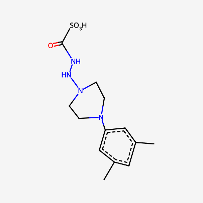 Cc1cc(C)cc(N2CCN(NNC(=O)S(=O)(=O)O)CC2)c1